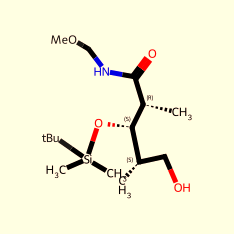 COCNC(=O)[C@H](C)[C@@H](O[Si](C)(C)C(C)(C)C)[C@@H](C)CO